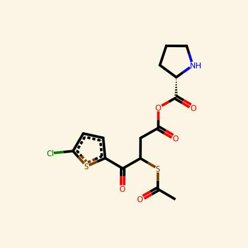 CC(=O)SC(CC(=O)OC(=O)[C@@H]1CCCN1)C(=O)c1ccc(Cl)s1